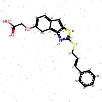 O=C(O)COC1=CC=C2C=c3sc(SCC=Cc4ccccc4)nc3=C2C1